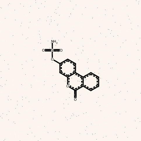 NS(=O)(=O)Oc1ccc2c(c1)oc(=O)c1ccccc12